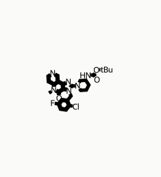 Cn1c(=O)c2c(nc(N3CCC[C@@H](NC(=O)OC(C)(C)C)C3)n2Cc2cc(F)ccc2Cl)c2cnccc21